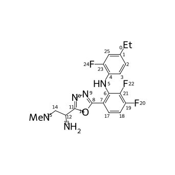 CCc1ccc(Nc2c(-c3nnc(C(N)CNC)o3)ccc(F)c2F)c(F)c1